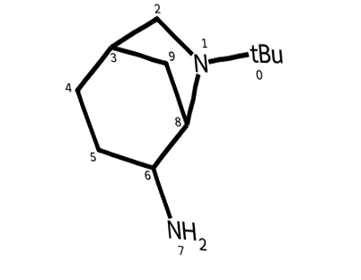 CC(C)(C)N1CC2CCC(N)C1C2